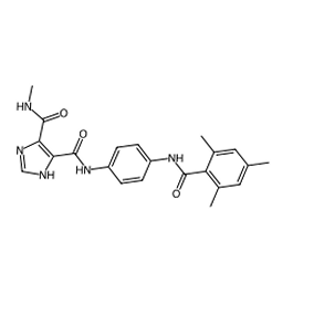 CNC(=O)c1nc[nH]c1C(=O)Nc1ccc(NC(=O)c2c(C)cc(C)cc2C)cc1